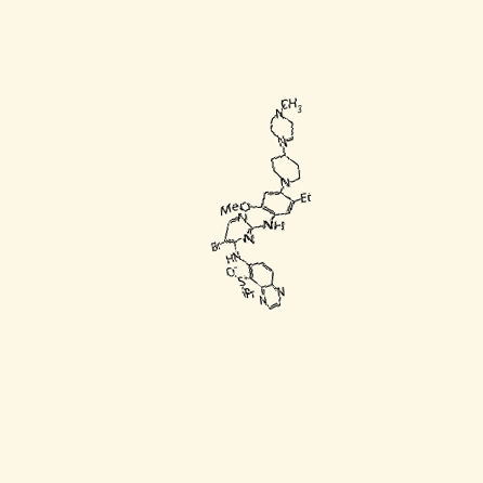 CCc1cc(Nc2ncc(Br)c(Nc3ccc4nccnc4c3[S+]([O-])C(C)C)n2)c(OC)cc1N1CCC(N2CCN(C)CC2)CC1